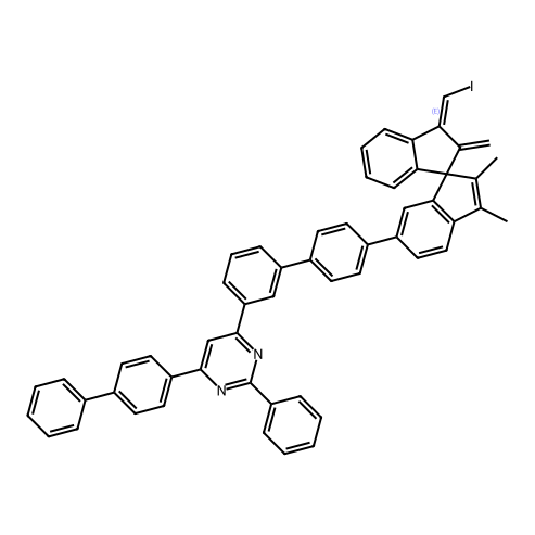 C=C1/C(=C\I)c2ccccc2C12C(C)=C(C)c1ccc(-c3ccc(-c4cccc(-c5cc(-c6ccc(-c7ccccc7)cc6)nc(-c6ccccc6)n5)c4)cc3)cc12